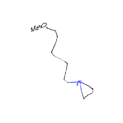 COCCCCN1CC1